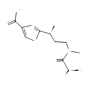 CC[C@H](C)[C@H](N)C(=O)N(C)[C@H](C[C@H](O)c1nc(C(=O)OC)cs1)C(C)C